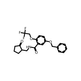 O=C(NCC1CCCC1=O)c1cc(OCc2ccccc2)ccc1OCC(F)(F)F